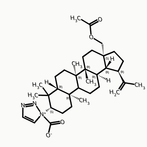 C=C(C)[C@@H]1CC[C@]2(COC(C)=O)CC[C@]3(C)[C@H](CCC4[C@@]5(C)CC[C@H]([N+]6(C(=O)[O-])C=CN=N6)C(C)(C)[C@@H]5CC[C@]43C)[C@@H]12